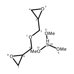 C(OCC1CO1)C1CO1.CO[SiH](OC)OC